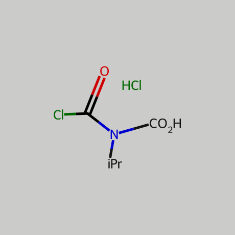 CC(C)N(C(=O)O)C(=O)Cl.Cl